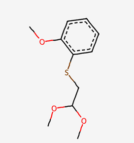 COc1ccccc1SCC(OC)OC